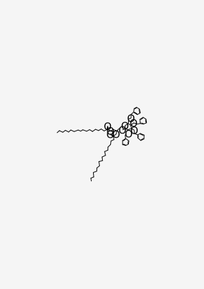 CCCCCCCCCCCCCCCCCC(=O)OCC(COC1OC(COCc2ccccc2)C(OCc2ccccc2)C(OCc2ccccc2)C1OCc1ccccc1)OC(=O)CCCCCCCCCCCCCCCCC